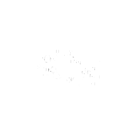 CCn1c(-c2cccnc2[C@H](C)OC)c2c3cc(ccc31)-c1csc(n1)C[C@H](NC(=O)C(C(C)C)N(C)C(=O)N1CC3(CC3)C1)C(=O)N1CCC[C@H](N1)C(=O)OCC(C)(C)C2